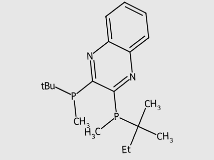 CCC(C)(C)P(C)c1nc2ccccc2nc1P(C)C(C)(C)C